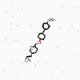 CCCCc1ccc(C2CCC(OCC3CCC(C=CC#N)CC3)CC2)cc1